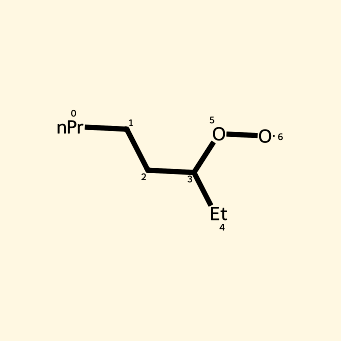 CCCCCC(CC)O[O]